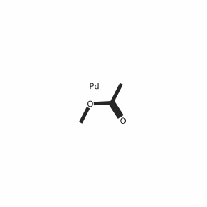 COC(C)=O.[Pd]